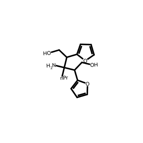 CCCC(N)(C(CO)c1ccco1)C(CO)c1ccco1